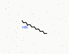 CCCCCCCCCC([NH])CCC